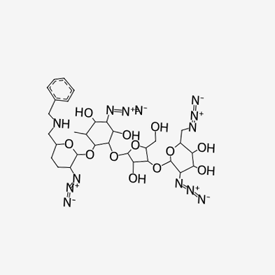 CC1C(O)C(N=[N+]=[N-])C(O)C(OC2OC(CO)C(OC3OC(CN=[N+]=[N-])C(O)C(O)C3N=[N+]=[N-])C2O)C1OC1OC(CNCc2ccccc2)CCC1N=[N+]=[N-]